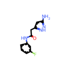 Nc1cc(CC(=O)Nc2cccc(F)c2)[nH]n1